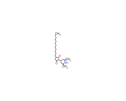 C=C1CC(N2C(=O)CC(CCCCCCCCCCCC)C2=O)CC(=C)N1